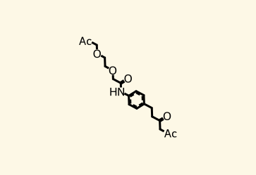 CC(=O)COCCOCC(=O)Nc1ccc(CCC(=O)CC(C)=O)cc1